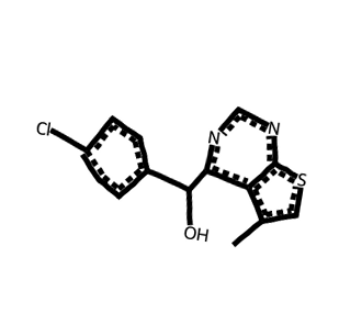 Cc1csc2ncnc(C(O)c3ccc(Cl)cc3)c12